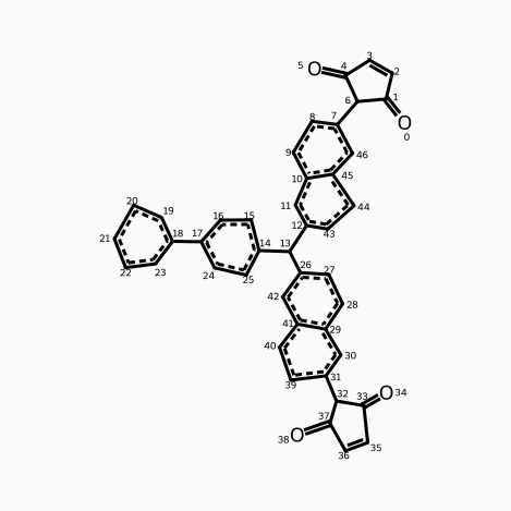 O=C1C=CC(=O)C1c1ccc2cc(C(c3ccc(-c4ccccc4)cc3)c3ccc4cc(C5C(=O)C=CC5=O)ccc4c3)ccc2c1